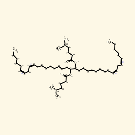 CCCCC/C=C\C/C=C\CCCCCCCCC(OC(=O)CCCN(C)C)C(CCCCCCCC/C=C\C/C=C\CCCCC)OC(=O)CCCN(C)C